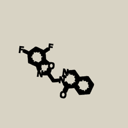 O=c1c2ccccc2cnn1Cc1nc2cc(F)cc(F)c2o1